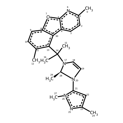 Cc1ccc2c(n1)oc1ccc(C)c(C(C)(C)N3C=CN(c4cc(C)nn4C)[C@H]3C)c12